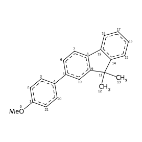 COc1ccc(-c2ccc3c(c2)C(C)(C)c2ccccc2-3)cc1